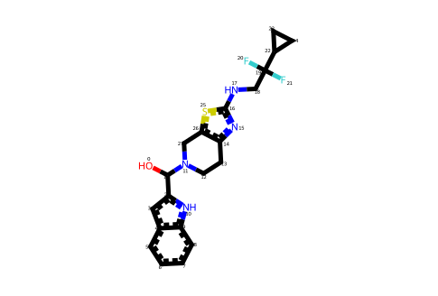 OC(c1cc2ccccc2[nH]1)N1CCc2nc(NCC(F)(F)C3CC3)sc2C1